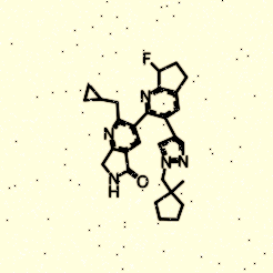 CC1(Cn2cc(-c3cc4c(nc3-c3cc5c(nc3CC3CC3)CNC5=O)C(F)CC4)cn2)CCCC1